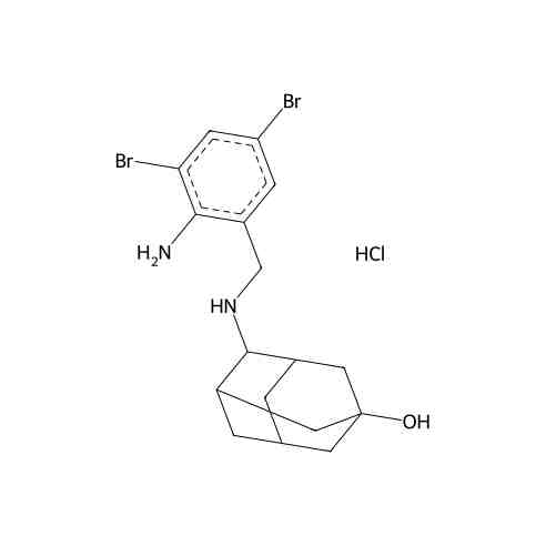 Cl.Nc1c(Br)cc(Br)cc1CNC1C2CC3CC1CC(O)(C3)C2